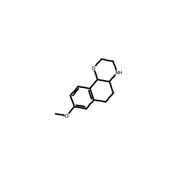 COc1ccc2c(c1)CCC1NCCOC21